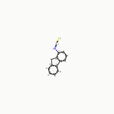 S=C=Nc1cccc2c1Cc1ccccc1-2